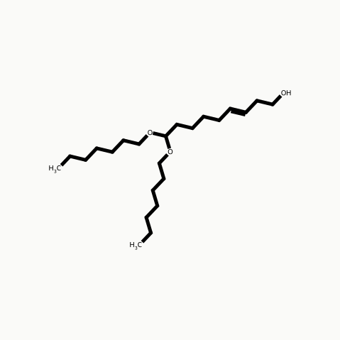 CCCCCCCOC(CCCC/C=C/CCO)OCCCCCCC